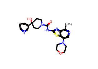 COc1ncc(N2CCOCC2)c2sc(NC(=O)N3CCC(O)(c4cccnc4)CC3)nc12